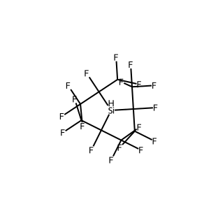 FC(F)C(F)([SiH](C(F)(C(F)F)C(F)(F)F)C(F)(C(F)F)C(F)(F)F)C(F)(F)F